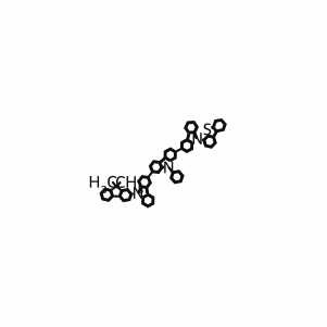 CC1(C)c2ccccc2-c2ccc(-n3c4ccccc4c4cc(-c5ccc6c7ccc(-c8ccc9c(c8)c8ccccc8n9-c8cccc9c8sc8ccccc89)cc7n(-c7ccccc7)c6c5)ccc43)cc21